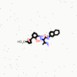 CC(=NI)/C(=N/Nc1cccc(-c2ccc(C(=O)O)o2)c1O)C(=O)Nc1ccc2c(c1)CCCC2